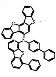 c1ccc(-c2ccc(N(c3cccc4c3sc3c(-c5ccccc5)cccc34)c3cc4sc5ccccc5c4c4oc5ccccc5c34)cc2)cc1